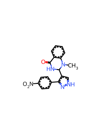 CN1c2ccccc2C(=O)NC1c1c[nH]nc1-c1ccc([N+](=O)[O-])cc1